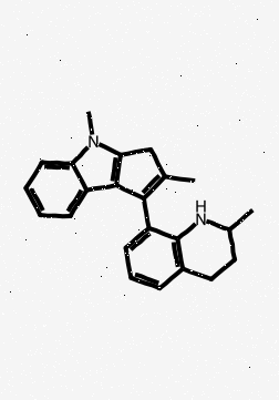 CC1=C(c2cccc3c2NC(C)CC3)c2c(n(C)c3ccccc23)C1